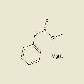 CO[PH](=O)Oc1ccccc1.[MgH2]